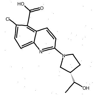 CC(O)[C@H]1CCN(c2ccc3c(C(=O)O)c(Cl)ccc3n2)C1